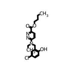 CCCCOC(=O)c1ccc(N(CC)Cc2cc(Cl)ccc2O)nn1